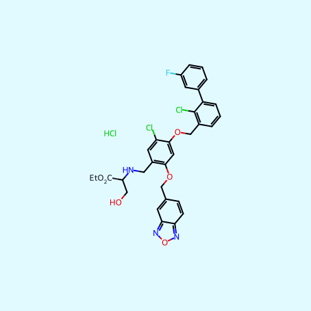 CCOC(=O)C(CO)NCc1cc(Cl)c(OCc2cccc(-c3cccc(F)c3)c2Cl)cc1OCc1ccc2nonc2c1.Cl